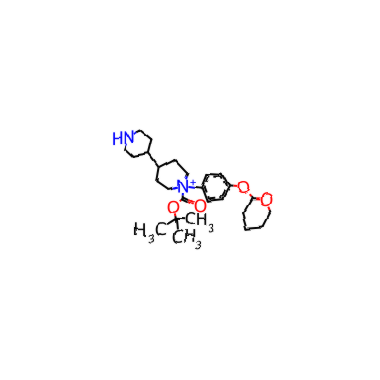 CC(C)(C)OC(=O)[N+]1(c2ccc(OC3CCCCO3)cc2)CCC(C2CCNCC2)CC1